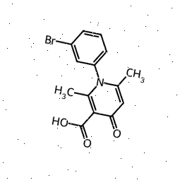 Cc1cc(=O)c(C(=O)O)c(C)n1-c1cccc(Br)c1